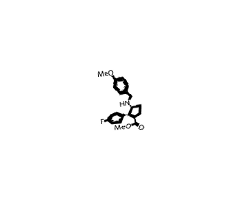 COC(=O)[C@@H]1CC[C@@H](NCc2ccc(OC)cc2)[C@H]1c1ccc(F)cc1